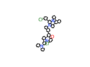 Clc1cccc(-c2cc3c4c5c(cccc5n3-c3cccc5cc(-c6cc7oc8ccc(Cl)c9c8c7c(c6)c6cccc7c8cc(N(c%10ccccc%10)c%10ccccc%10)ccc8n9c67)ccc35)c3cc5ccccc5c5c6ccccc6n(c4c2)c35)c1